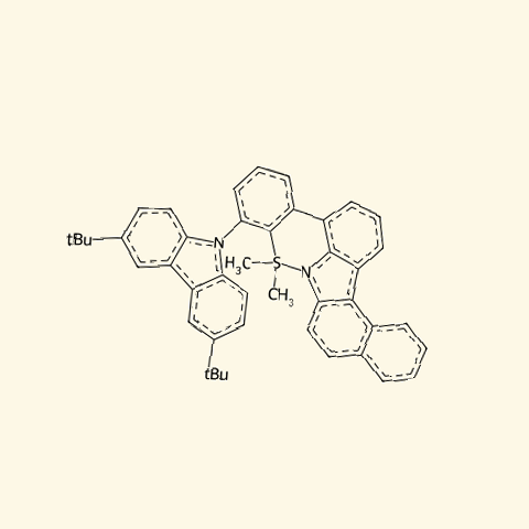 CC(C)(C)c1ccc2c(c1)c1cc(C(C)(C)C)ccc1n2-c1cccc2c1S(C)(C)n1c3ccc4ccccc4c3c3cccc-2c31